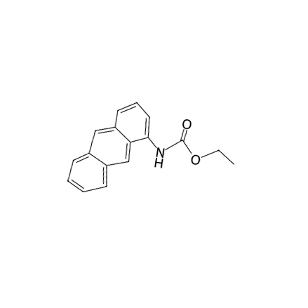 CCOC(=O)Nc1cccc2cc3ccccc3cc12